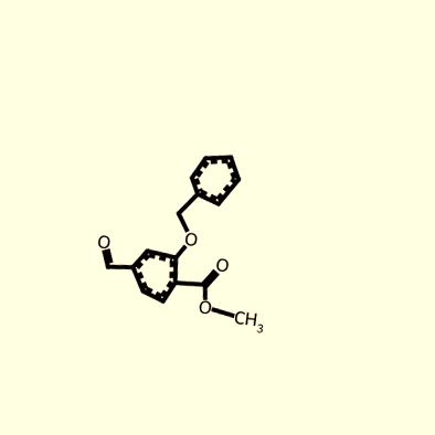 COC(=O)c1ccc(C=O)cc1OCc1ccccc1